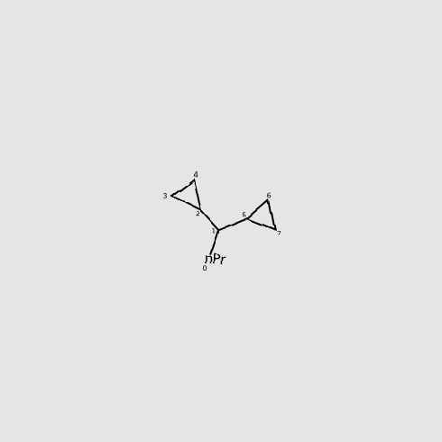 CCC[C](C1CC1)C1CC1